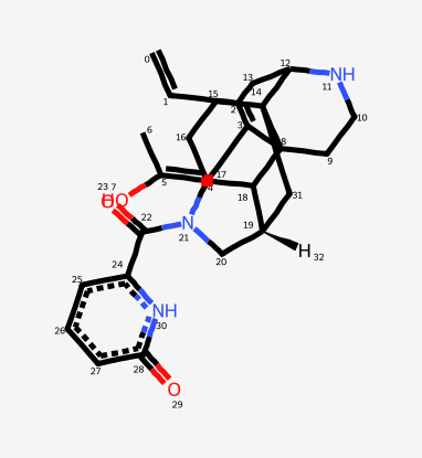 C=CC1=C(/C=C(\C)O)C23CCNC(C1)C21CCC2C3[C@@H](CN2C(=O)c2cccc(=O)[nH]2)C1